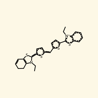 CCN1C2=C(C=CCC2)S/C1=c1\cc/c(=C\c2ccc(-c3sc4ccccc4[n+]3CC)s2)s1